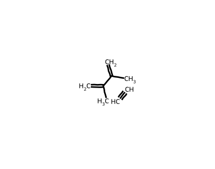 C#C.C=C(C)C(=C)C